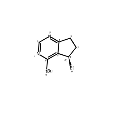 CC[C@@H]1CCc2ncnc(C(C)(C)C)c21